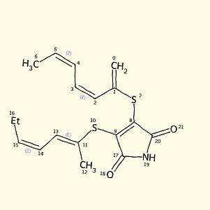 C=C(/C=C\C=C/C)SC1=C(S/C(C)=C/C=C\CC)C(=O)NC1=O